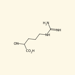 N=C(N)NCCCC(N=O)C(=O)O